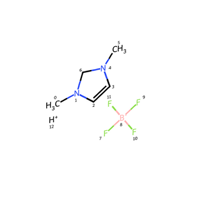 CN1C=CN(C)C1.F[B-](F)(F)F.[H+]